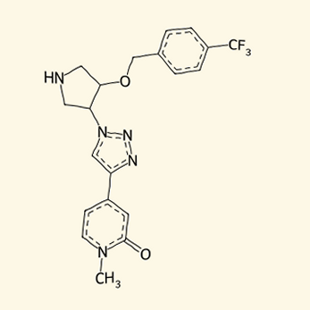 Cn1ccc(-c2cn(C3CNCC3OCc3ccc(C(F)(F)F)cc3)nn2)cc1=O